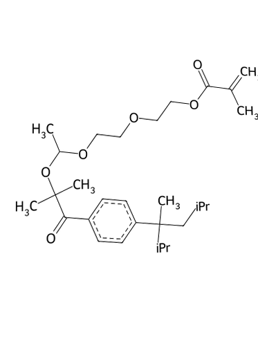 C=C(C)C(=O)OCCOCCOC(C)OC(C)(C)C(=O)c1ccc(C(C)(CC(C)C)C(C)C)cc1